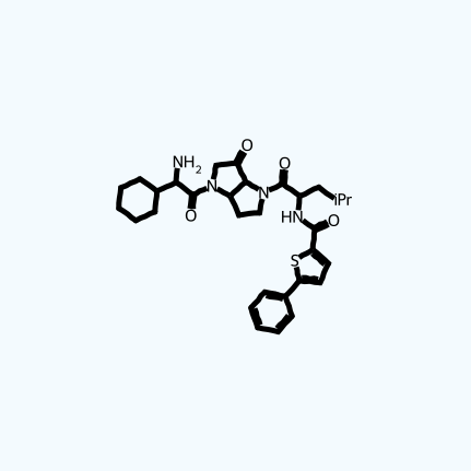 CC(C)CC(NC(=O)c1ccc(-c2ccccc2)s1)C(=O)N1CCC2C1C(=O)CN2C(=O)C(N)C1CCCCC1